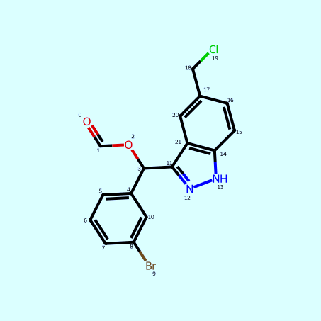 O=COC(c1cccc(Br)c1)c1n[nH]c2ccc(CCl)cc12